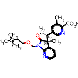 Cc1cc([C@@H](C)[C@@]2(C)C(=O)N(COCC[Si](C)(C)C)c3ncccc32)cnc1C(=O)O